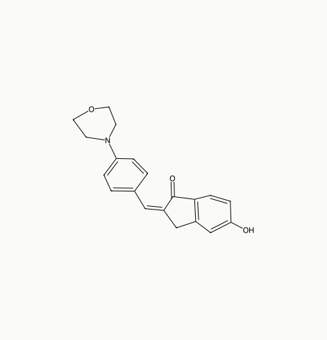 O=C1C(=Cc2ccc(N3CCOCC3)cc2)Cc2cc(O)ccc21